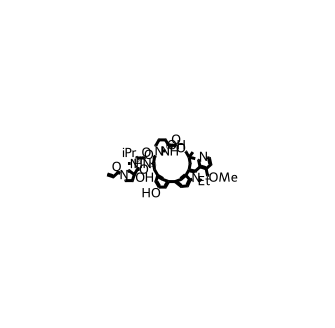 C=CC(=O)N1CCC(O)(C(=O)N(C)[C@H](C(=O)N[C@H]2Cc3cc(O)cc(c3)-c3ccc4c(c3)c(c(-c3cnccc3COC)n4CC)CC(C)(C)COC(=O)[C@@]3(O)CCCN(N3)C2=O)C(C)C)C1